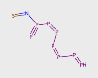 P#P(N=S)/P=P\P=P/P=P